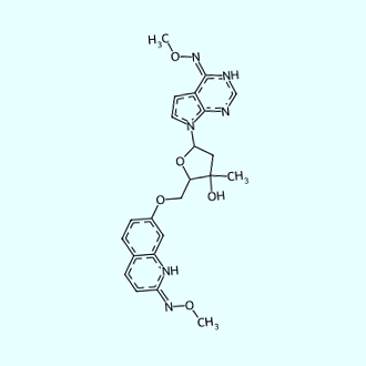 CO/N=c1/ccc2ccc(OCC3OC(n4ccc5/c(=N\OC)[nH]cnc54)CC3(C)O)cc2[nH]1